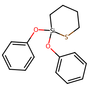 c1ccc(O[Si]2(Oc3ccccc3)CCCCS2)cc1